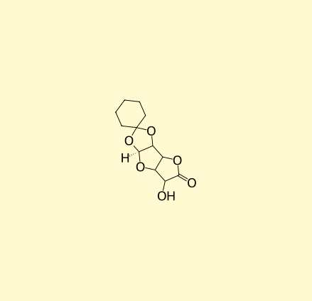 O=C1OC2C(O[C@H]3OC4(CCCCC4)OC23)C1O